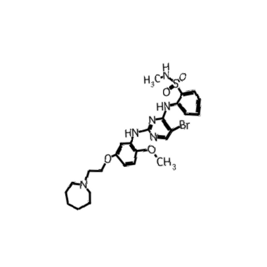 CNS(=O)(=O)c1ccccc1Nc1nc(Nc2cc(OCCN3CCCCCC3)ccc2OC)ncc1Br